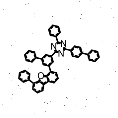 c1ccc(-c2ccc(-c3nc(-c4ccccc4)nc(-c4cc(-c5ccccc5)cc(-c5cccc6c5oc5c(-c7ccccc7)cccc56)c4)n3)cc2)cc1